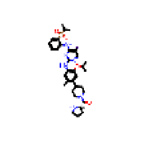 Cc1cc(Nc2ncc(I)c(Nc3ccccc3S(=O)(=O)C(C)C)n2)c(OC(C)C)cc1C1CCN(C(=O)[C@@H]2CCCN2)CC1